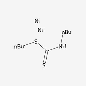 CCCCNC(=S)SCCCC.[Ni].[Ni]